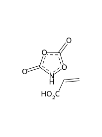 C=CC(=O)O.O=c1[nH]oc(=O)o1